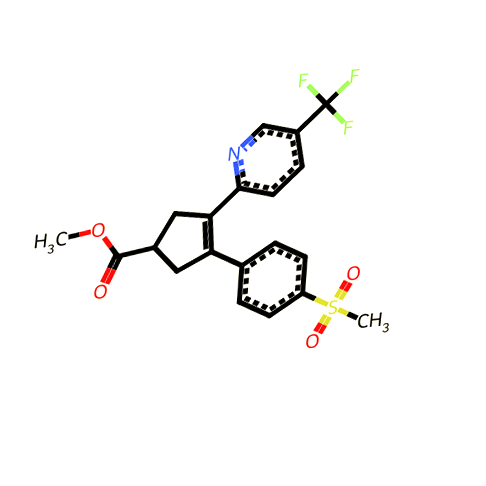 COC(=O)C1CC(c2ccc(S(C)(=O)=O)cc2)=C(c2ccc(C(F)(F)F)cn2)C1